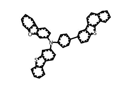 c1ccc2c(c1)ccc1c3cc(-c4ccc(N(c5ccc6c(c5)oc5ccccc56)c5ccc6c(c5)sc5ccccc56)cc4)ccc3sc21